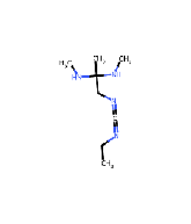 CCN=C=NCC(C)(NC)NC